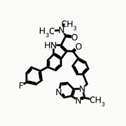 Cc1nc2cnccc2n1Cc1ccc(C(=O)c2c(C(=O)N(C)C)[nH]c3cc(-c4ccc(F)cc4)ccc23)cc1